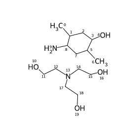 CC1CC(O)C(C)CC1N.OCCN(CCO)CCO